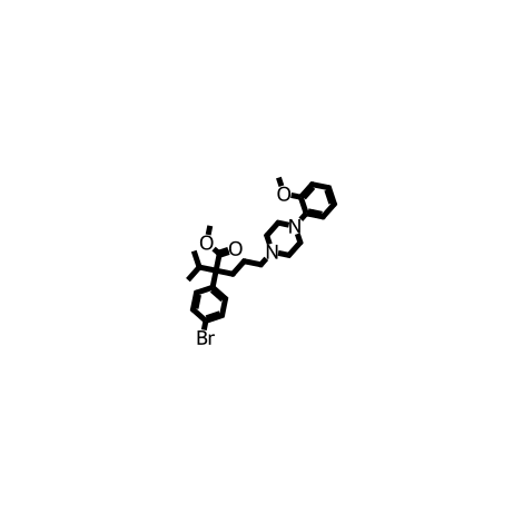 COC(=O)C(CCCN1CCN(c2ccccc2OC)CC1)(c1ccc(Br)cc1)C(C)C